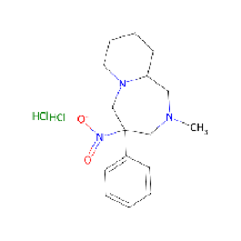 CN1CC2CCCCN2CC(c2ccccc2)([N+](=O)[O-])C1.Cl.Cl